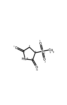 CS(=O)(=O)C1CC(=O)NC1=O